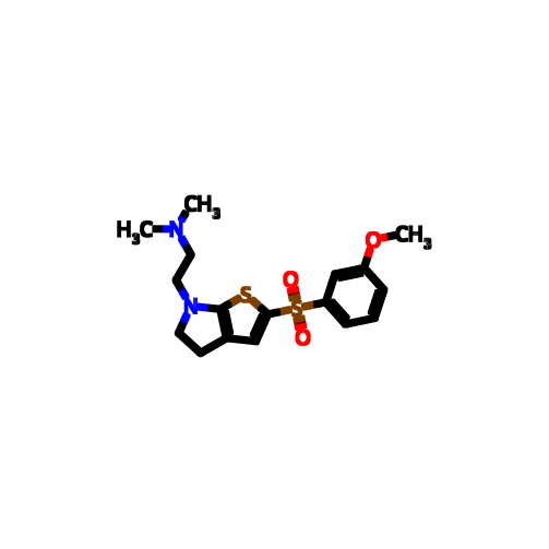 COc1cccc(S(=O)(=O)c2cc3c(s2)N(CCN(C)C)CC3)c1